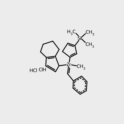 C[Si](C)(C)C1=CC[C]([Zr]([CH3])(=[CH]c2ccccc2)[CH]2C=CC3=C2CCCC3)=C1.Cl.Cl